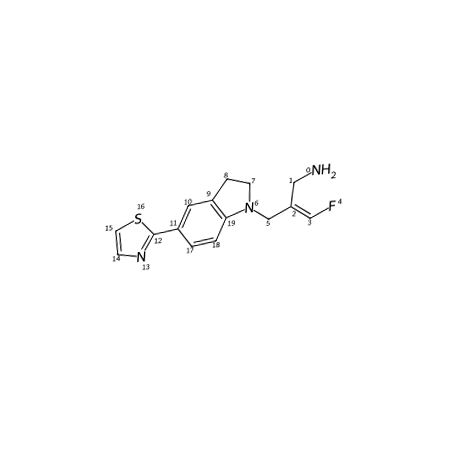 NC/C(=C\F)CN1CCc2cc(-c3nccs3)ccc21